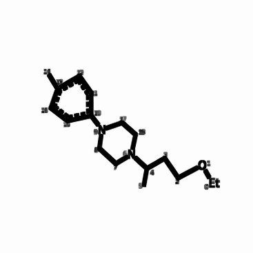 CCOCCC(C)N1CCN(c2ccc(C)cc2)CC1